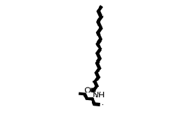 [CH2]CC(CCC)NC(=O)CCCCCCCCCCCCCCCCC